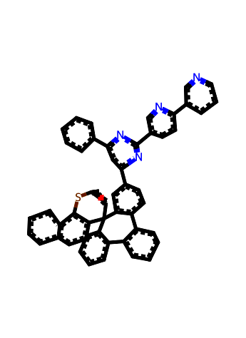 c1ccc(-c2cc(-c3ccc4c(c3)C3(c5ccccc5Sc5c3ccc3ccccc53)c3ccccc3-c3ccccc3-4)nc(-c3ccc(-c4cccnc4)nc3)n2)cc1